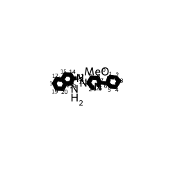 COc1ccccc1-c1ccc(N=Nc2ccc3ccccc3c2N)cn1